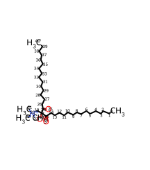 CCCCCCCCCCCCCCCC(=O)C(O)(C[N+](C)(C)C)C(=O)CCCCCCCCCCCCCCC